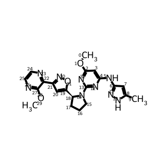 COc1cc(Nc2cc(C)[nH]n2)nc(N2CCC[C@H]2c2cc(-c3nccnc3OC)no2)n1